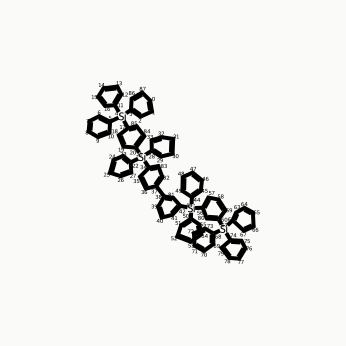 c1ccc([Si](c2ccccc2)(c2ccccc2)c2ccc([Si](c3ccccc3)(c3ccccc3)c3ccc(-c4cccc([Si](c5ccccc5)(c5ccccc5)c5cccc([Si](c6ccccc6)(c6ccccc6)c6ccccc6)c5)c4)cc3)cc2)cc1